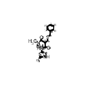 CN(N)C(=O)C(CSCc1ccccc1)C(=O)Nc1n[nH]c(=S)s1